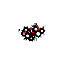 CC1(C)c2ccccc2C2(c3cc(Br)ccc3CCc3c2c(Cl)c(Cl)c2c3C3(c4cc(Br)ccc4CC2)c2ccccc2C(C)(C)c2ccccc23)c2ccccc21